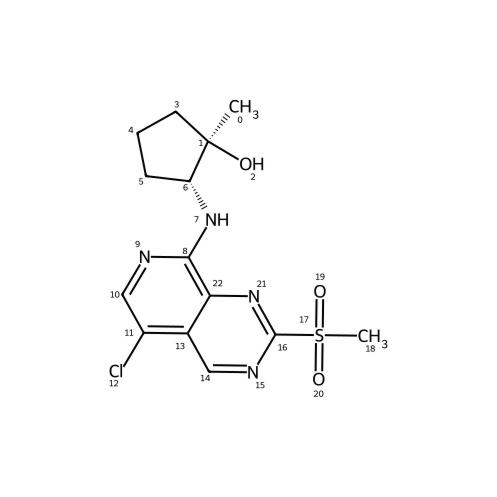 C[C@@]1(O)CCC[C@H]1Nc1ncc(Cl)c2cnc(S(C)(=O)=O)nc12